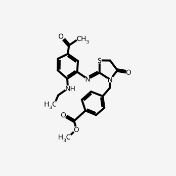 CCNc1ccc(C(C)=O)cc1N=C1SCC(=O)N1Cc1ccc(C(=O)OC)cc1